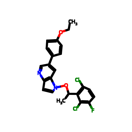 CCOc1ccc(-c2cnc3ccn(OC(C)c4c(Cl)ccc(F)c4Cl)c3c2)cc1